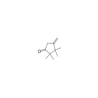 C=C1CC(=O)C(C)(C)C1(C)C